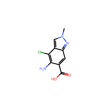 Cn1cc2c(Cl)c(N)c(C(=O)O)cc2n1